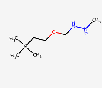 CNNCOCC[Si](C)(C)C